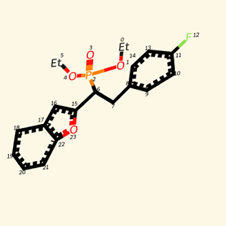 CCOP(=O)(OCC)C(Cc1ccc(F)cc1)c1cc2ccccc2o1